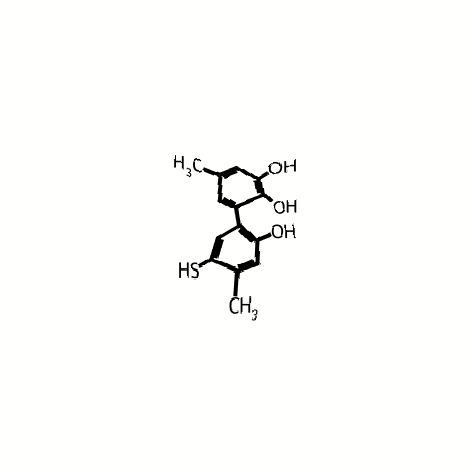 Cc1cc(O)c(O)c(-c2cc(S)c(C)cc2O)c1